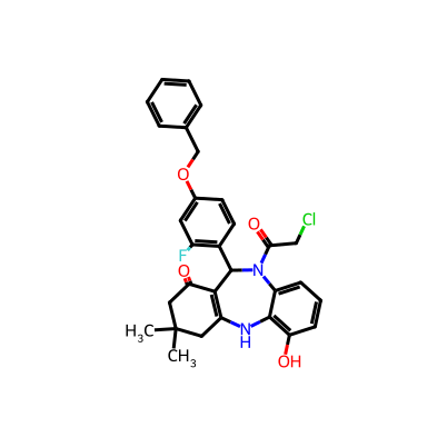 CC1(C)CC(=O)C2=C(C1)Nc1c(O)cccc1N(C(=O)CCl)C2c1ccc(OCc2ccccc2)cc1F